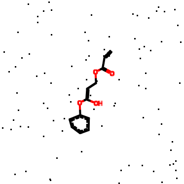 C=CC(=O)OCC=C(O)Oc1ccccc1